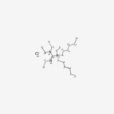 CCCCCC[N+](CC)(CCCCCC)C(=NCC)N(CC)CC.[Cl-]